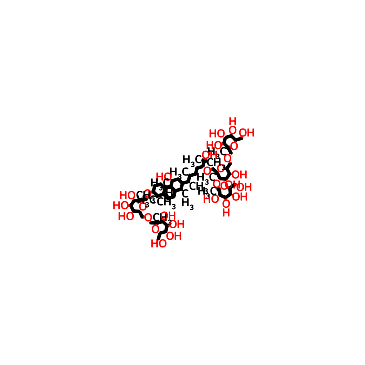 CC(CCC(OC[C@@]1(C)OC(COCC2(C)OC(CO)[C@H](O)C(O)C2O)[C@H](O)C(O)C1OC1(C)OC(CO)[C@H](O)C(O)C1O)C(C)(C)O)[C@H](C)C1C[C@@H](O)[C@@]2(C)C(CC=C3[C@@H]2CCC(OCC2(C)OC(COCC4(C)OC(CO)[C@@H](O)C(O)C4O)[C@@H](O)C(O)C2O)C3(C)C)[C@H]1C